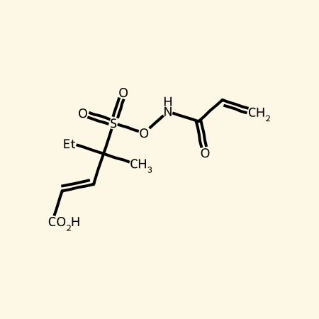 C=CC(=O)NOS(=O)(=O)C(C)(C=CC(=O)O)CC